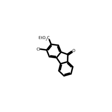 CCOC(=O)c1cc2c(cc1Cl)-c1ccccc1C2=O